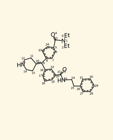 CCN(CC)C(=O)c1ccc(C(=C2CCNCC2)c2cccc(C(=O)NCCc3ccccc3)c2)cc1